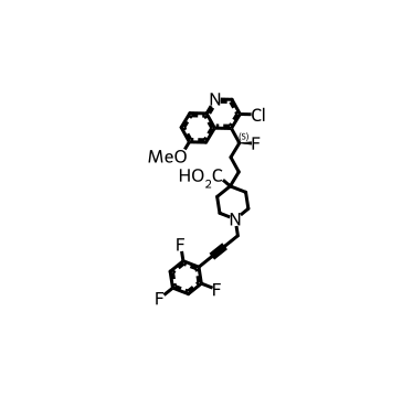 COc1ccc2ncc(Cl)c([C@@H](F)CCC3(C(=O)O)CCN(CC#Cc4c(F)cc(F)cc4F)CC3)c2c1